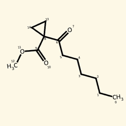 CCCCCCC(=O)C1(C(=O)OC)CC1